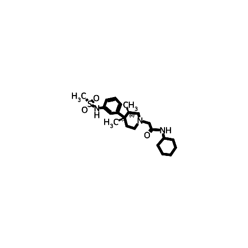 C[C@H]1CN(CC(=O)NC2CCCCC2)CC[C@]1(C)c1cccc(NS(C)(=O)=O)c1